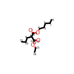 CCCCCOC(=O)C(CCC)C(=O)OCC